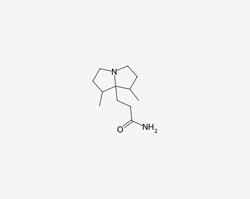 CC1CCN2CCC(C)C12CCC(N)=O